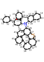 c1ccc(-c2ccc(N(c3cc4ccccc4cc3-c3ccccc3)c3cc4sc5ccc6cccc7c6c5c4c4c3ccc3cccc-7c34)cc2)cc1